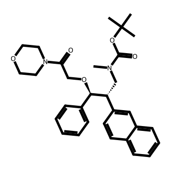 CN(C[C@H](c1ccc2ccccc2c1)[C@H](OCC(=O)N1CCOCC1)c1ccccc1)C(=O)OC(C)(C)C